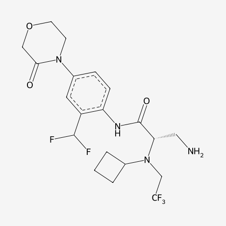 NC[C@@H](C(=O)Nc1ccc(N2CCOCC2=O)cc1C(F)F)N(CC(F)(F)F)C1CCC1